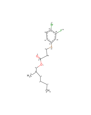 CCCCC(C)COC(=O)CCSc1ccc(Br)c(F)c1